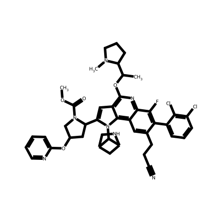 COC(=O)N1CC(Oc2ccccn2)CC1c1cc2c(OC(C)C3CCCN3C)nc3c(F)c(-c4cccc(Cl)c4Cl)c(CCC#N)cc3c2n1C1C2CNC1C2